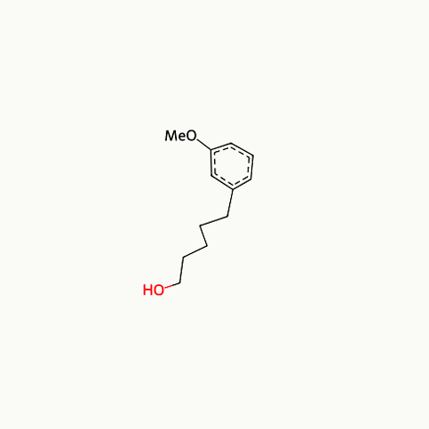 COc1cccc(CCCCCO)c1